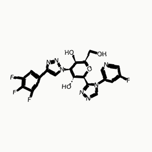 OC[C@H]1O[C@@H](c2nncn2-c2cncc(F)c2)[C@H](O)[C@@H](n2cc(-c3cc(F)c(F)c(F)c3)nn2)[C@H]1O